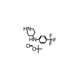 CC(C)(C)OC=O.FC(F)(F)c1ccc(NC2CCNCC2)cc1